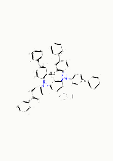 CC(C)(C)c1cc2c3c(c1)N(c1ccc(-c4ccccc4)cc1)c1ccc(-c4ccccc4)cc1B3c1cc(-c3ccccc3)ccc1N2c1ccc(-c2ccccc2)cc1